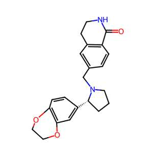 O=C1NCCc2cc(CN3CCC[C@@H]3c3ccc4c(c3)OCCO4)ccc21